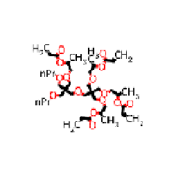 C=CC(=O)OC(C)COCC(COCCC)(COCCC)COCC(COCC(C)OC(=O)C=C)(COCC(C)OC(=O)C=C)COCC(C)OC(=O)C=C